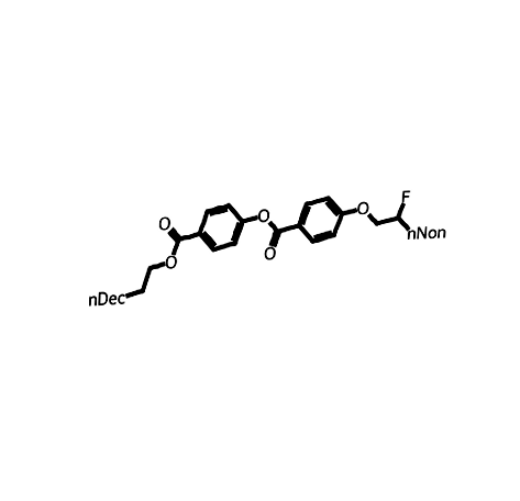 CCCCCCCCCCCCOC(=O)c1ccc(OC(=O)c2ccc(OCC(F)CCCCCCCCC)cc2)cc1